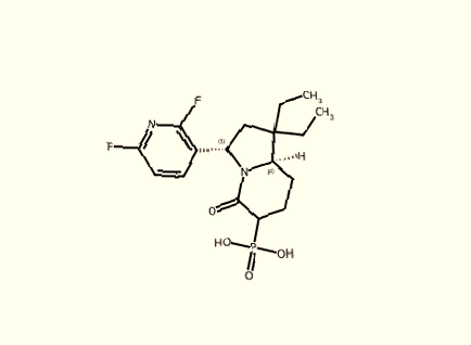 CCC1(CC)C[C@@H](c2ccc(F)nc2F)N2C(=O)C(P(=O)(O)O)CC[C@@H]21